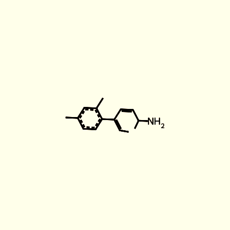 C/C=C(\C=C/C(C)N)c1ccc(C)cc1C